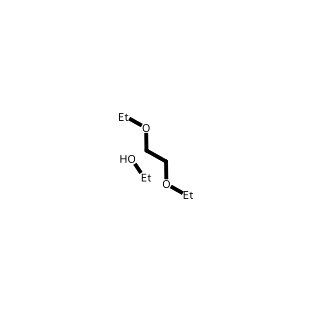 CCO.CCOCCOCC